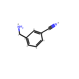 N#Cc1[c]ccc(CN)c1